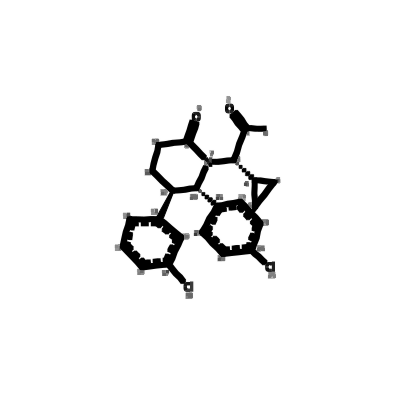 CC(=O)[C@H](C1CC1)N1C(=O)CC[C@H](c2cccc(Cl)c2)[C@H]1c1ccc(Cl)cc1